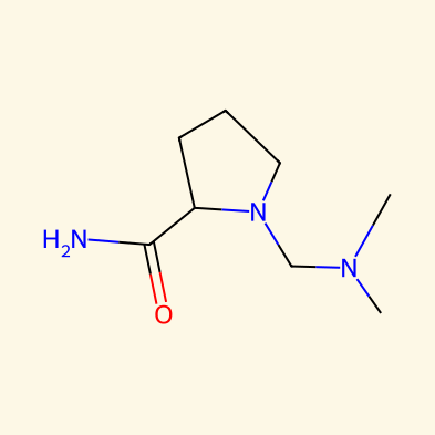 CN(C)CN1CCCC1C(N)=O